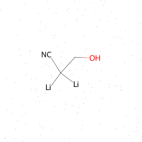 [Li][C]([Li])(C#N)CO